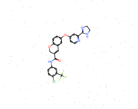 O=C(Nc1ccc(Cl)c(C(F)(F)F)c1)C1=Cc2cc(Oc3ccnc(C4=NCCN4)c3)ccc2OC1